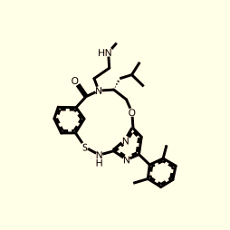 CNCCN1C(=O)c2cccc(c2)SNc2nc(cc(-c3c(C)cccc3C)n2)OC[C@H]1CC(C)C